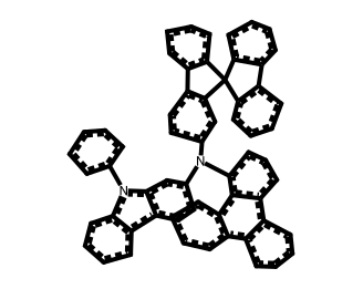 c1ccc(-n2c3ccccc3c3ccc(N(c4ccc5c(c4)C4(c6ccccc6-c6ccccc64)c4ccccc4-5)c4cccc5c6ccccc6c6ccccc6c45)cc32)cc1